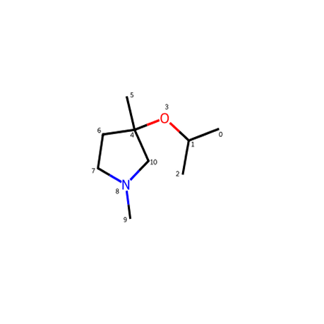 CC(C)OC1(C)CCN(C)C1